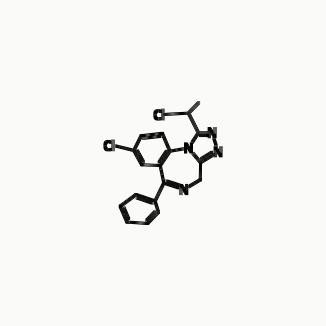 CC(Cl)c1nnc2n1-c1ccc(Cl)cc1C(c1ccccc1)=NC2